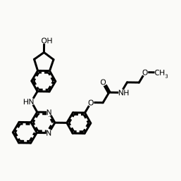 COCCNC(=O)COc1cccc(-c2nc(Nc3ccc4c(c3)CC(O)C4)c3ccccc3n2)c1